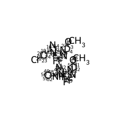 COc1ccc2nc(C(F)(F)F)c(-c3cncc(-c4ccc(Cl)cc4)n3)n2c1.COc1ccc2nc(C(F)(F)F)c(-c3cncc(Nc4ccccc4)n3)n2c1